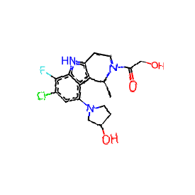 C[C@H]1c2c([nH]c3c(F)c(Cl)cc(N4CCC(O)C4)c23)CCN1C(=O)CO